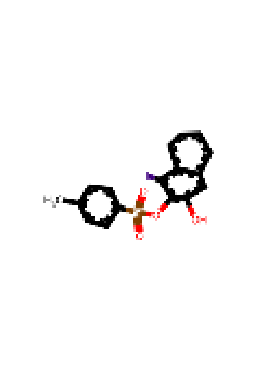 Cc1ccc(S(=O)(=O)Oc2c(O)cc3ccccc3c2I)cc1